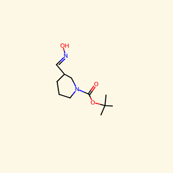 CC(C)(C)OC(=O)N1CCCC(C=NO)C1